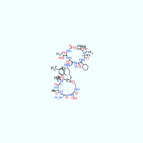 CCCCCC[C@H]1OC(=O)CNC(=O)[C@H]([C@H](C)O)NC(=O)[C@H](CNC(CC)CCC[C@H]2OCCNC(=O)[C@H](CO)NC(=O)[C@H](CN)NC(=O)[C@H]([C@H](C)CC)NC(=O)[C@H](CC(C)C)N(C)C(=O)[C@@H]2Cc2ccc(C)cc2)NC(=O)[C@H](C2CCCCC2)NC(=O)[C@H](CC)N(C)C(=O)[C@@H]1C